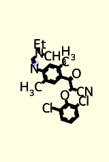 CCN(C)/C=N\c1cc(C)c(C(=O)C(C#N)Oc2c(Cl)cccc2Cl)cc1C